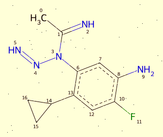 CC(=N)N(N=N)c1cc(N)c(F)cc1C1CC1